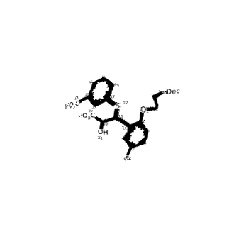 CCCCCCCCCCCCOc1ccc(Br)cc1C(Sc1cccc(C(=O)O)c1)C(O)C(=O)O